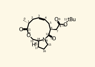 C[C@@H]1C/C=C\C[C@@H](CC(=O)OC(C)(C)C)C(=O)N2CCC[C@H]2COC1=O